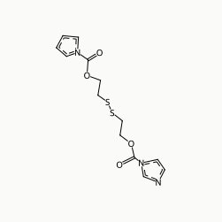 O=C(OCCSSCCOC(=O)n1ccnc1)n1cccc1